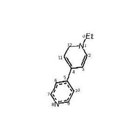 CCN1C=CC(c2ccncc2)=CC1